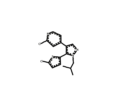 CC(C)Cn1ncc(-c2ccnc(Cl)c2)c1-c1ccc(Cl)s1